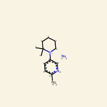 CC1(C)CCCCN1c1ccc([N+](=O)[O-])nc1.N